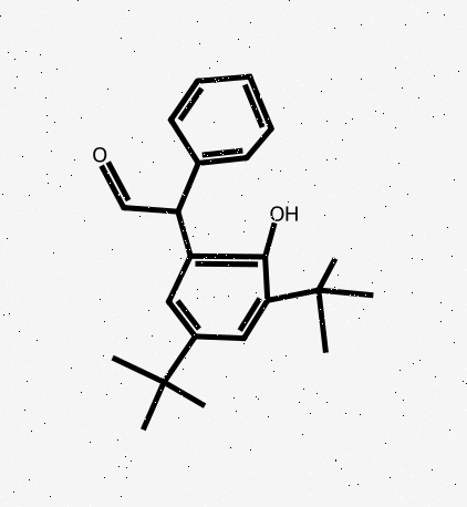 CC(C)(C)c1cc(C(C=O)c2ccccc2)c(O)c(C(C)(C)C)c1